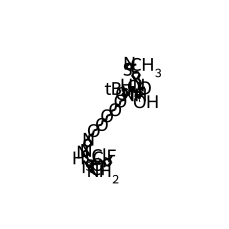 Cc1ncsc1-c1ccc(CNC(=O)[C@@H]2C[C@@H](O)CN2C(=O)[C@@H](NC(=O)COCCOCCOCCOCCOCCN2CCC(n3cc(-c4cnc(N)c(O[C@H](C)c5c(Cl)ccc(F)c5Cl)c4)cn3)CC2)C(C)(C)C)cc1